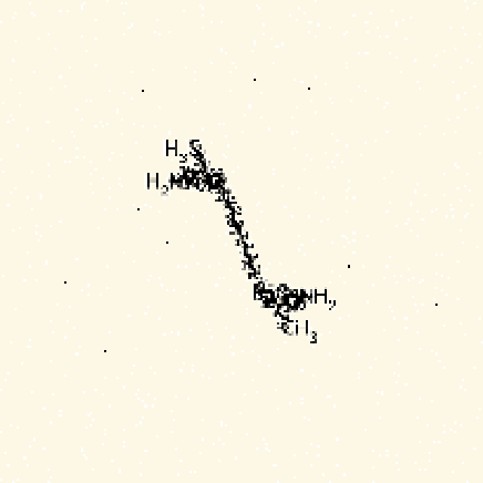 CCCCC(c1ccc(CCCCCCCCCCCCCCCCCCc2ccc(C(CCCC)c3ccc(N)cc3C)cc2)cc1)c1ccc(N)cc1C